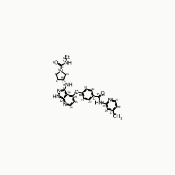 CCNC(=O)N1CC[C@@H](Nc2n[nH]c3nccc(Oc4ccc(C(=O)Nc5cc(C)ccn5)cc4)c23)C1